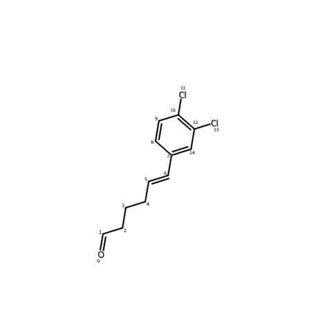 O=[C]CCCC=Cc1ccc(Cl)c(Cl)c1